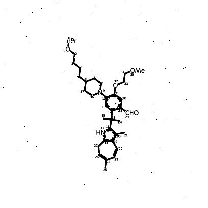 CCCOCCCCC1CCN(c2cc(C(C)(C)c3[nH]c4c(c3C)C=CC(C)=CC4)c(C=O)cc2OCCOC)CC1